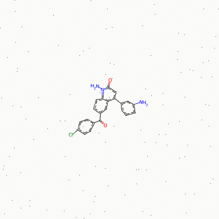 Nc1cccc(-c2cc(=O)n(N)c3ccc(C(=O)c4ccc(Cl)cc4)cc23)c1